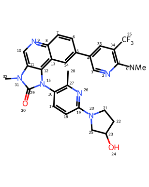 CNc1ncc(-c2ccc3ncc4c(c3c2)n(-c2ccc(N3CCC(O)C3)nc2C)c(=O)n4C)cc1C(F)(F)F